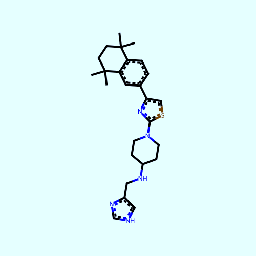 CC1(C)CCC(C)(C)c2cc(-c3csc(N4CCC(NCc5c[nH]cn5)CC4)n3)ccc21